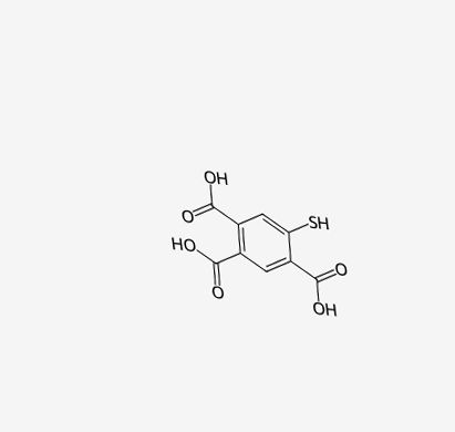 O=C(O)c1cc(C(=O)O)c(C(=O)O)cc1S